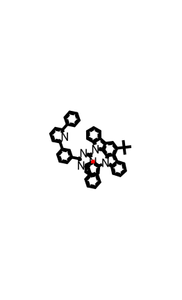 CC(C)(C)c1cc2c3ccccc3n(-c3nc(-c4ccccc4)nc(-c4cccc(-c5cccc(-c6ccccc6)n5)c4)n3)c2c2c1c1ccccc1n2-c1ccccc1